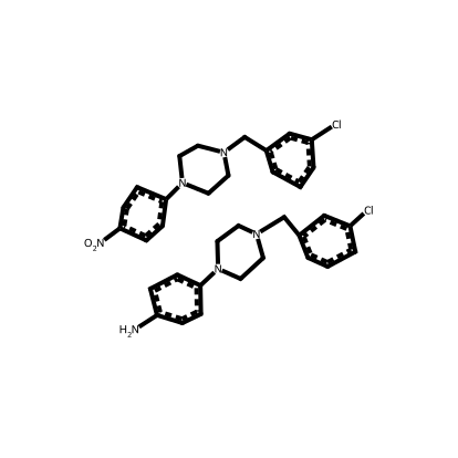 Nc1ccc(N2CCN(Cc3cccc(Cl)c3)CC2)cc1.O=[N+]([O-])c1ccc(N2CCN(Cc3cccc(Cl)c3)CC2)cc1